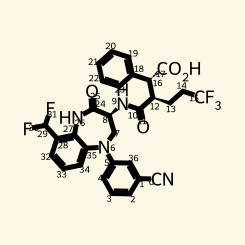 N#Cc1cccc(N2C[C@H](NC(=O)[C@H](CCC(F)(F)F)[C@@H](C(=O)O)c3ccccc3)C(=O)Nc3c(C(F)F)cccc32)c1